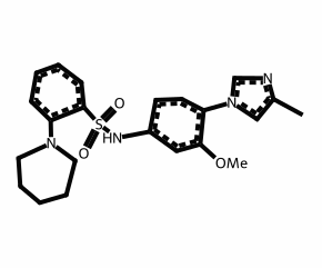 COc1cc(NS(=O)(=O)c2ccccc2N2CCCCC2)ccc1-n1cnc(C)c1